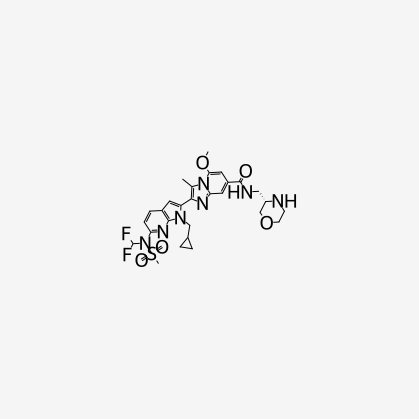 COc1cc(C(=O)NC[C@H]2COCCN2)cc2nc(-c3cc4ccc(N(C(F)F)S(C)(=O)=O)nc4n3CC3CC3)c(C)n12